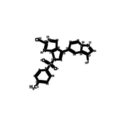 Cc1ccc(S(=O)(=O)n2cc(-c3ccn4ncc(I)c4c3)c3cnc(Cl)nc32)cc1